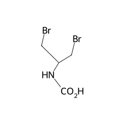 O=C(O)NC(CBr)CBr